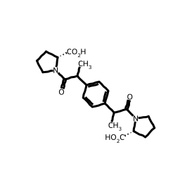 CC(C(=O)N1CCC[C@@H]1C(=O)O)c1ccc(C(C)C(=O)N2CCC[C@@H]2C(=O)O)cc1